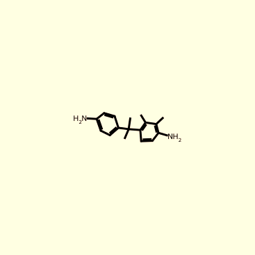 Cc1c(N)ccc(C(C)(C)c2ccc(N)cc2)c1C